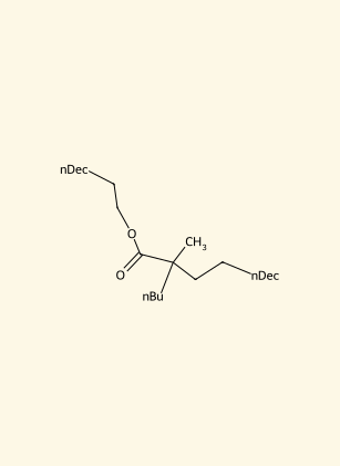 CCCCCCCCCCCCOC(=O)C(C)(CCCC)CCCCCCCCCCCC